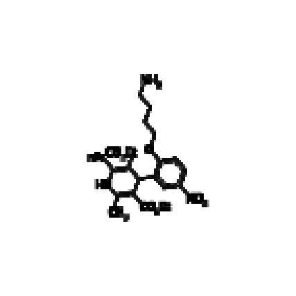 CCCC1=C(C(=O)OCC)C(c2cc([N+](=O)[O-])ccc2OCCCCN)C(C(=O)OCC)=C(C)N1